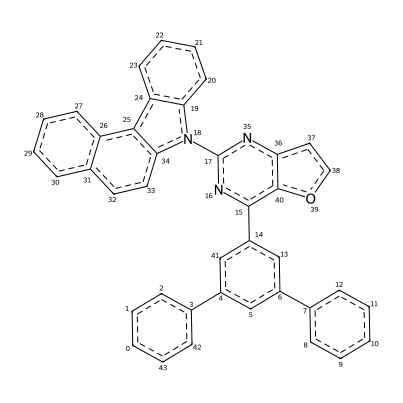 c1ccc(-c2cc(-c3ccccc3)cc(-c3nc(-n4c5ccccc5c5c6ccccc6ccc54)nc4ccoc34)c2)cc1